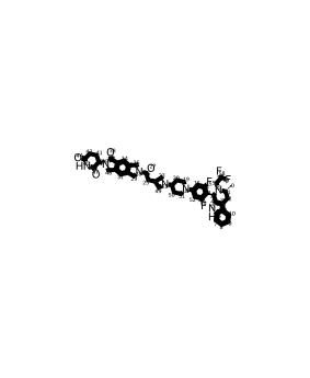 C[C@@H]1Cc2c([nH]c3ccccc23)[C@@H](c2c(F)cc(N3CCC(N4CC(CC(=O)N5Cc6cc7c(cc6C5)C(=O)N(C5CCC(=O)NC5=O)C7)C4)CC3)cc2F)N1CC(F)F